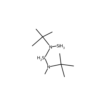 CN([SiH2]N([SiH3])C(C)(C)C)C(C)(C)C